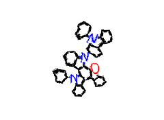 c1ccc(-n2c3ccccc3c3ccc(-n4c5ccccc5c5c4c4oc6ccccc6c4c4c6ccccc6n(-c6ccccc6)c45)cc32)cc1